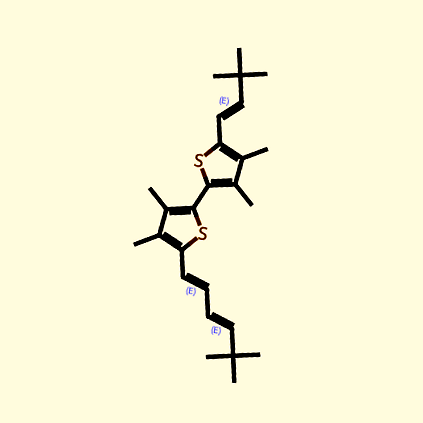 Cc1c(/C=C/C=C/C(C)(C)C)sc(-c2sc(/C=C/C(C)(C)C)c(C)c2C)c1C